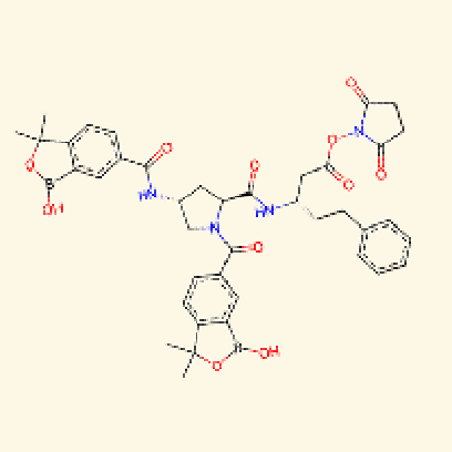 CC1(C)OB(O)c2cc(C(=O)N[C@@H]3C[C@@H](C(=O)N[C@@H](CCc4ccccc4)CC(=O)ON4C(=O)CCC4=O)N(C(=O)c4ccc5c(c4)B(O)OC5(C)C)C3)ccc21